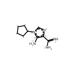 N=C(N)c1ncn(C2CCCC2)c1N